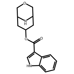 O=C(OC1CC2COCC(C1)N2)c1c[nH]c2ccccc12